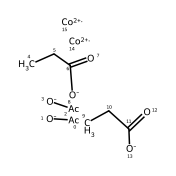 CC(=O)[O-].CC(=O)[O-].CCC(=O)[O-].CCC(=O)[O-].[Co+2].[Co+2]